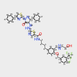 O=C(NCCCCc1ccc(OCc2ccc(F)c(C(F)(F)F)c2)c(CNCCO)c1)c1cnc(NN=C2C(=O)N(c3nc(-c4ccccc4)cs3)N=C2c2ccccc2)s1